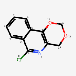 Clc1nc2c(c3ccccc13)OCOC2